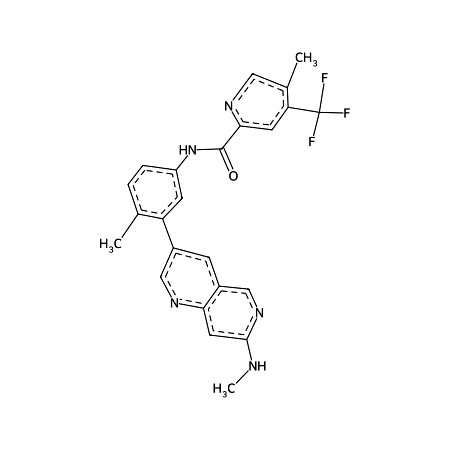 CNc1cc2ncc(-c3cc(NC(=O)c4cc(C(F)(F)F)c(C)cn4)ccc3C)cc2cn1